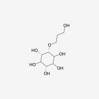 OCCCO[C@@H]1C(O)C(O)[C@H](O)C(O)[C@@H]1O